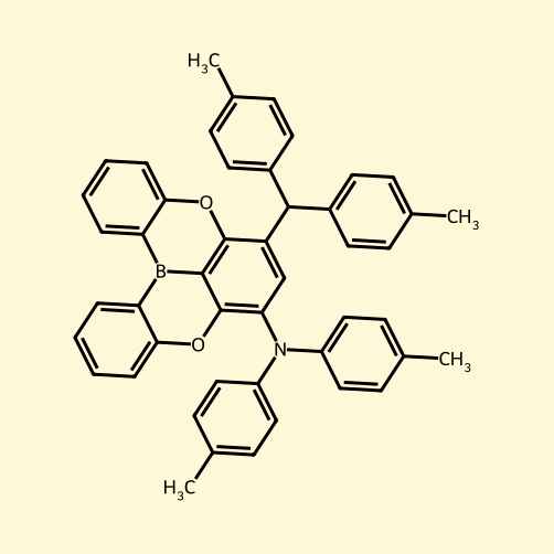 Cc1ccc(C(c2ccc(C)cc2)c2cc(N(c3ccc(C)cc3)c3ccc(C)cc3)c3c4c2Oc2ccccc2B4c2ccccc2O3)cc1